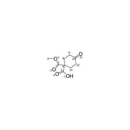 COC(=O)C1(C(=O)O)CCC(=O)CC1